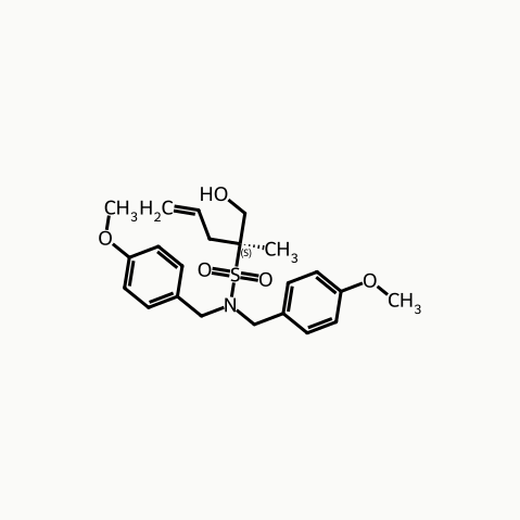 C=CC[C@@](C)(CO)S(=O)(=O)N(Cc1ccc(OC)cc1)Cc1ccc(OC)cc1